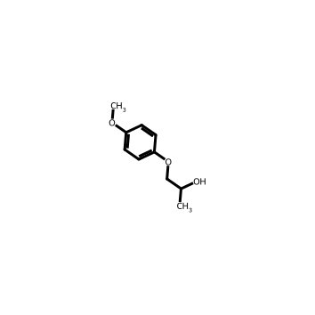 COc1ccc(OCC(C)O)cc1